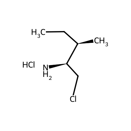 CC[C@@H](C)[C@H](N)CCl.Cl